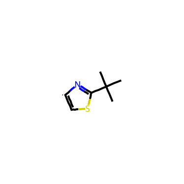 CC(C)(C)c1n[c]cs1